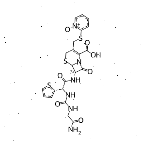 NC(=O)CNC(=O)NC(C(=O)N[C@H]1C(=O)N2C(C(=O)O)=C(CSc3cccc[n+]3[O-])CSC12)c1cccs1